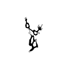 N#Cc1ccc([C@@H](Oc2ccc3c(c2)OCCC3=O)c2ccnc(C(F)(F)F)c2)cc1